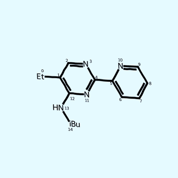 CCc1cnc(-c2ccccn2)nc1NC(C)CC